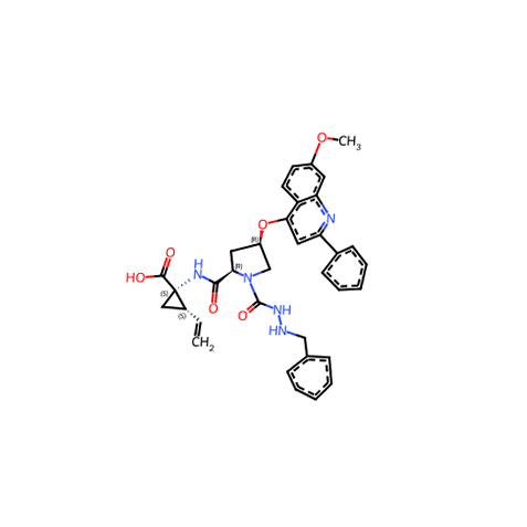 C=C[C@@H]1C[C@@]1(NC(=O)[C@H]1C[C@@H](Oc2cc(-c3ccccc3)nc3cc(OC)ccc23)CN1C(=O)NNCc1ccccc1)C(=O)O